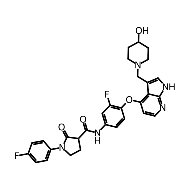 O=C(Nc1ccc(Oc2ccnc3[nH]cc(CN4CCC(O)CC4)c23)c(F)c1)C1CCN(c2ccc(F)cc2)C1=O